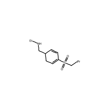 CCNCC1C=CC(S(=O)(=O)CC(C)C)=CC1